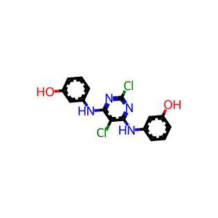 Oc1cccc(Nc2nc(Cl)nc(Nc3cccc(O)c3)c2Cl)c1